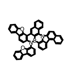 c1ccc2c3c4c(cc2c1)-c1c(ccc2c1oc1ccccc12)N(c1cccc2c1oc1ccccc12)B4c1cccc2c4c5ccccc5ccc4n-3c12